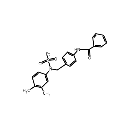 CCS(=O)(=O)N(Cc1ccc(NC(=O)c2ccccc2)cc1)c1ccc(C)c(C)c1